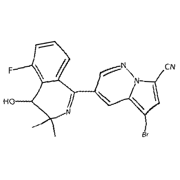 CC1(C)N=C(c2cnn3c(C#N)cc(Br)c3c2)c2cccc(F)c2C1O